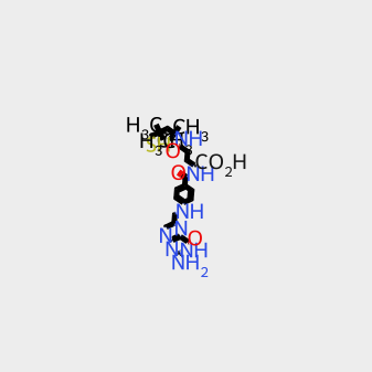 CC(C)(CS)CC(C)(C)NC(=O)CCC(NC(=O)c1ccc(NCc2cnc3nc(N)[nH]c(=O)c3n2)cc1)C(=O)O